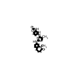 Cc1cnc(Nc2ccc3c(c2)N(C)C(=O)CCC3)nc1Nc1ccc2oc(=O)[nH]c2c1